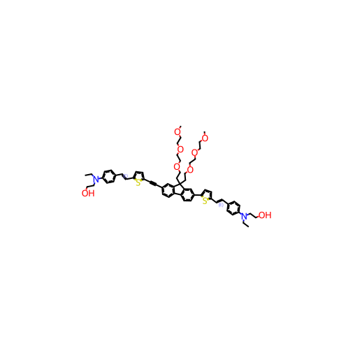 CCN(CCO)c1ccc(/C=C/c2ccc(C#Cc3ccc4c(c3)C(CCOCCOCCOC)(CCOCCOCCOC)c3cc(-c5ccc(/C=C/c6ccc(N(CC)CCO)cc6)s5)ccc3-4)s2)cc1